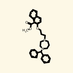 COC(=O)c1c(OCCCN2CCCN(C(c3ccccc3)c3ccccc3)CC2)ccc2ccccc12